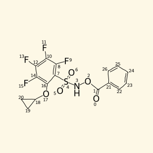 O=C(ONS(=O)(=O)c1c(F)c(F)c(F)c(F)c1OC1CC1)c1ccccc1